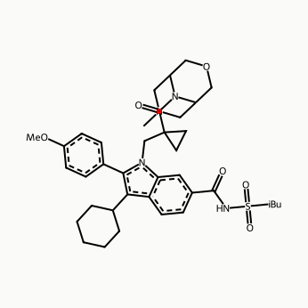 CCC(C)S(=O)(=O)NC(=O)c1ccc2c(C3CCCCC3)c(-c3ccc(OC)cc3)n(CC3(C(=O)N4C5COCC4CN(C)C5)CC3)c2c1